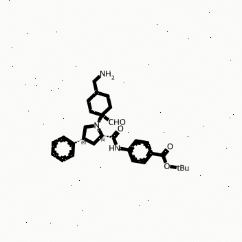 CC(C)(C)OC(=O)c1ccc(NC(=O)[C@@H]2C[C@H](c3ccccc3)CN2C2(C=O)CCC(CN)CC2)cc1